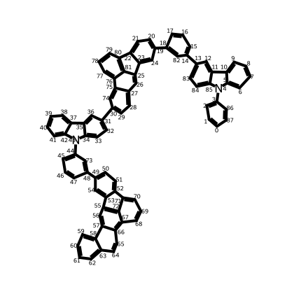 c1ccc(-n2c3ccccc3c3cc(-c4cccc(-c5ccc6c(c5)-c5cc7ccc(-c8ccc9c(c8)c8ccccc8n9-c8cccc(-c9ccc%10c(c9)-c9cc%11c%12ccccc%12ccc%11c%11cccc-%10c9%11)c8)cc7c7cccc-6c57)c4)ccc32)cc1